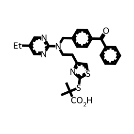 CCc1cnc(N(CCc2csc(SC(C)(C)C(=O)O)n2)Cc2ccc(C(=O)c3ccccc3)cc2)nc1